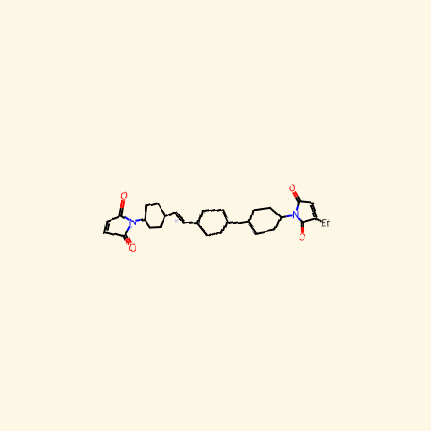 CCC1=CC(=O)N(C2CCC(C3CCC(/C=C/C4CCC(N5C(=O)C=CC5=O)CC4)CC3)CC2)C1=O